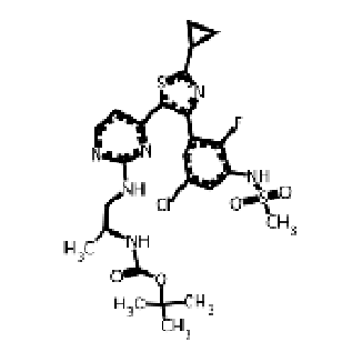 C[C@@H](CNc1nccc(-c2sc(C3CC3)nc2-c2cc(Cl)cc(NS(C)(=O)=O)c2F)n1)NC(=O)OC(C)(C)C